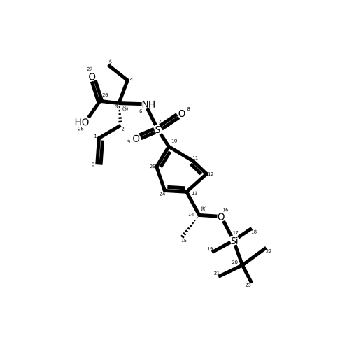 C=CC[C@](CC)(NS(=O)(=O)c1ccc([C@@H](C)O[Si](C)(C)C(C)(C)C)cc1)C(=O)O